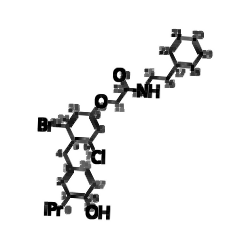 CC(C)c1cc(Cc2c(Cl)cc(OCC(=O)NCCc3ccccc3)cc2Br)ccc1O